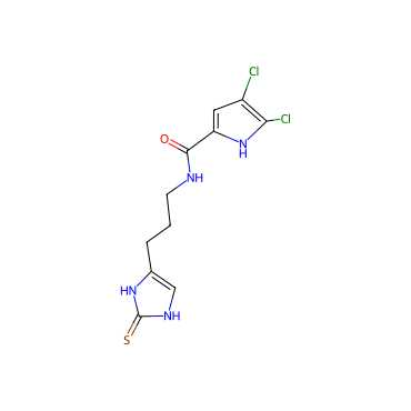 O=C(NCCCc1c[nH]c(=S)[nH]1)c1cc(Cl)c(Cl)[nH]1